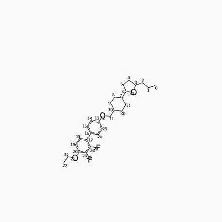 CCCC1CCC(C2CCC(COc3ccc(-c4ccc(OCC)c(F)c4F)cc3)CC2)O1